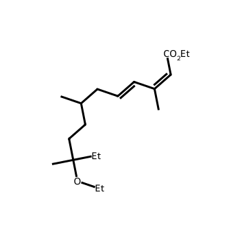 CCOC(=O)C=C(C)C=CCC(C)CCC(C)(CC)OCC